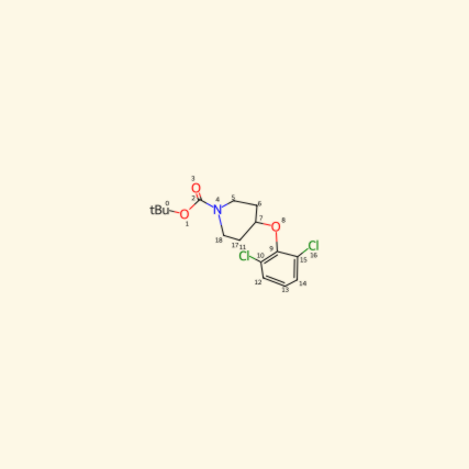 CC(C)(C)OC(=O)N1CCC(Oc2c(Cl)cccc2Cl)CC1